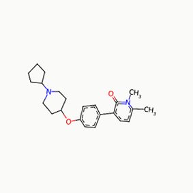 Cc1ccc(-c2ccc(OC3CCN(C4CCCC4)CC3)cc2)c(=O)n1C